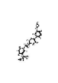 COCc1cccc(-c2ccc(OCc3cccc(C(=O)O)c3)cc2)c1